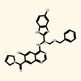 O=C(c1cc2ncnc(N[C@H](COCc3ccccc3)c3nc4cc(Cl)ccc4[nH]3)c2cc1Cl)N1CC=CC1